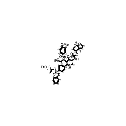 CCOC(=O)[C@@H](C)OP(=O)(Oc1ccccc1)c1ccc(CN(C)C[C@H](NC(=O)O[C@H]2CO[C@H]3OCC[C@H]32)[C@H](O)CN(CC(C)C)S(=O)(=O)c2ccc(OC)cc2)cc1